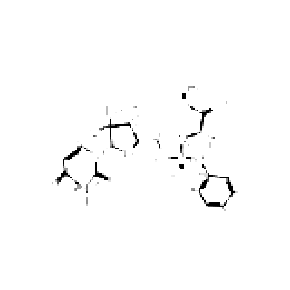 CCCCOC(=O)[C@H](C)NP(=O)(OC[C@H]1O[C@@H](n2ccc(=O)[nH]c2=O)[C@](C)(F)[C@@H]1O)Oc1ccccc1